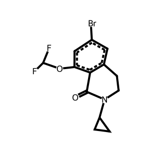 O=C1c2c(cc(Br)cc2OC(F)F)CCN1C1CC1